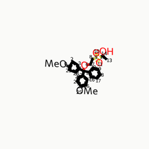 COc1ccc(C(OCCS(=O)(=O)C(C)O)(c2ccccc2)c2ccc(OC)cc2)cc1